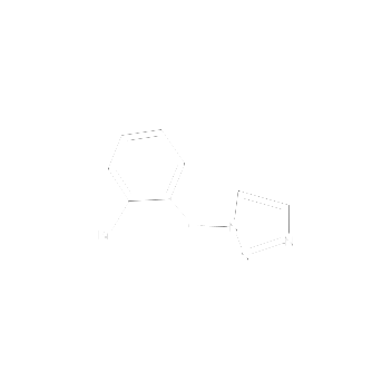 Brc1ccccc1On1ccnn1